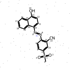 CS(=O)(=O)c1ccc(/N=N/c2ccc(O)c3ccccc23)c(C#N)c1